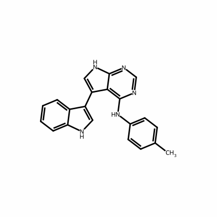 Cc1ccc(Nc2ncnc3[nH]cc(-c4c[nH]c5ccccc45)c23)cc1